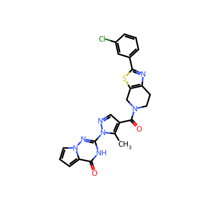 Cc1c(C(=O)N2CCc3nc(-c4cccc(Cl)c4)sc3C2)cnn1-c1nn2cccc2c(=O)[nH]1